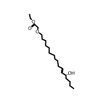 CCCC[C@@H](O)C=CCCCCCCCCCCOCC(=O)OCC